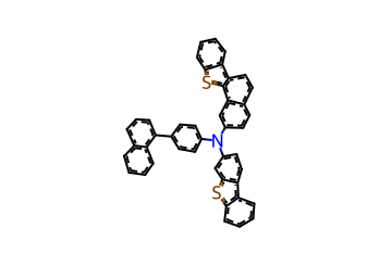 c1ccc2c(-c3ccc(N(c4ccc5c(c4)sc4ccccc45)c4ccc5ccc6c7ccccc7sc6c5c4)cc3)cccc2c1